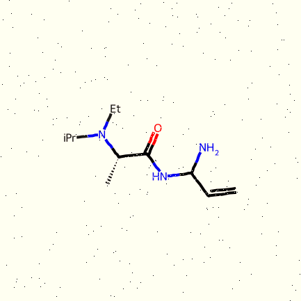 C=CC(N)NC(=O)[C@H](C)N(CC)C(C)C